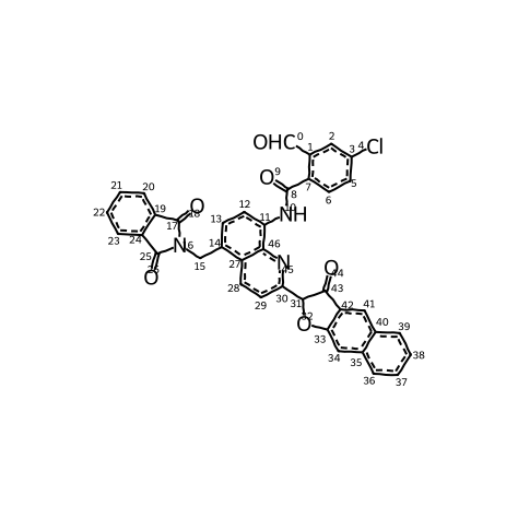 O=Cc1cc(Cl)ccc1C(=O)Nc1ccc(CN2C(=O)c3ccccc3C2=O)c2ccc(C3Oc4cc5ccccc5cc4C3=O)nc12